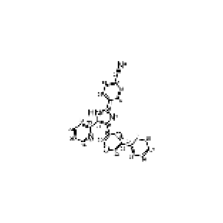 N#Cc1ccc(-c2nc(C3=COC=C(C4=CC=CCC4)O3)c(-c3ccccn3)[nH]2)cc1